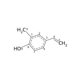 [CH2]c1cc(C=C)ccc1O